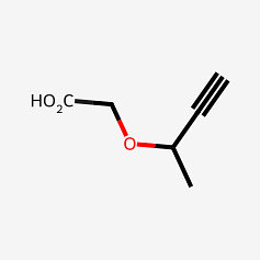 C#CC(C)OCC(=O)O